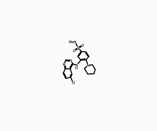 CNS(=O)(=O)c1ccc(N2CCCCC2)c(Nc2ncnc3ccc(Cl)cc23)c1